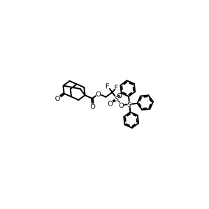 O=C1C2CC3CC1CC(C(=O)OCC(F)(F)S(=O)(=O)OS(c1ccccc1)(c1ccccc1)c1ccccc1)(C3)C2